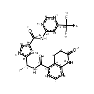 C[C@@H](NC(=O)c1ncnc2c1CCC(=O)N2)c1ncc(C(=O)Nc2cc(C(F)(F)F)ncn2)s1